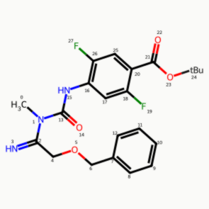 CN(C(=N)COCc1ccccc1)C(=O)Nc1cc(F)c(C(=O)OC(C)(C)C)cc1F